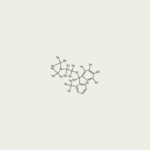 [2H]c1c([2H])c([2H])c(C([2H])(OC([2H])([2H])C([2H])([2H])N(C([2H])([2H])[2H])C([2H])([2H])[2H])c2ccccc2C([2H])([2H])[2H])c([2H])c1[2H]